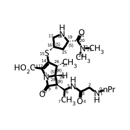 CCCNCC(=O)NC(C)[C@H]1C(=O)N2C(C(=O)O)=C(S[C@@H]3CN[C@H](C(=O)N(C)C)C3)[C@H](C)[C@H]12